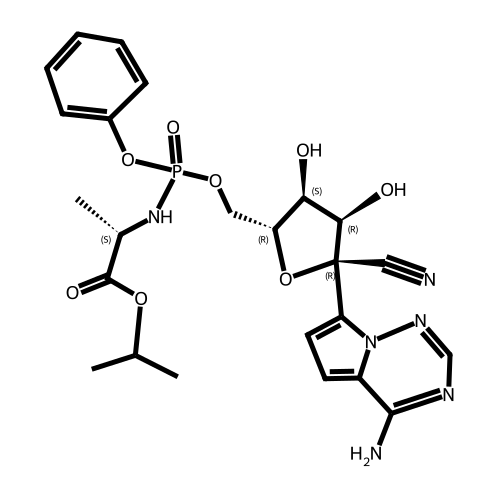 CC(C)OC(=O)[C@H](C)NP(=O)(OC[C@H]1O[C@@](C#N)(c2ccc3c(N)ncnn23)[C@H](O)[C@@H]1O)Oc1ccccc1